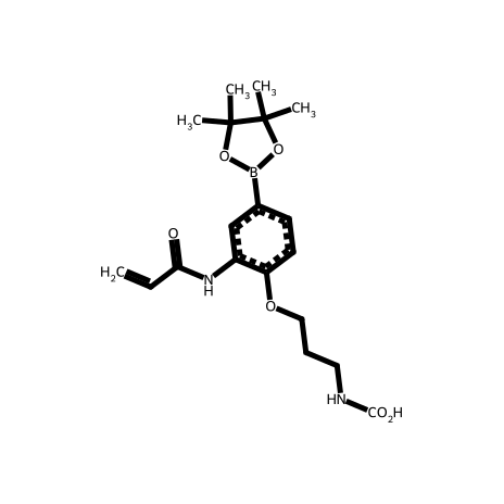 C=CC(=O)Nc1cc(B2OC(C)(C)C(C)(C)O2)ccc1OCCCNC(=O)O